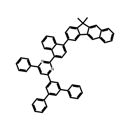 CC1(C)c2ccc(-c3ccc(-c4nc(-c5ccccc5)cc(-c5cc(-c6ccccc6)cc(-c6ccccc6)c5)n4)c4ccccc34)cc2-c2cc3ccccc3cc21